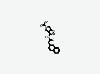 CC(=O)C(=O)N1Cc2n[nH]c(NC(=O)Cc3ccc4ccccc4c3)c2C1